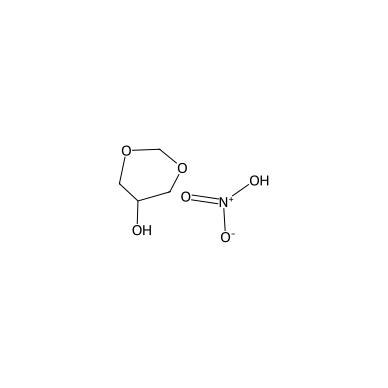 O=[N+]([O-])O.OC1COCOC1